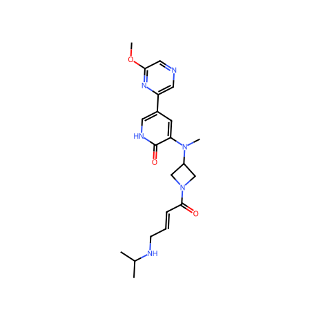 COc1cncc(-c2c[nH]c(=O)c(N(C)C3CN(C(=O)C=CCNC(C)C)C3)c2)n1